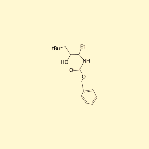 CCC(NC(=O)OCc1ccccc1)C(O)CC(C)(C)C